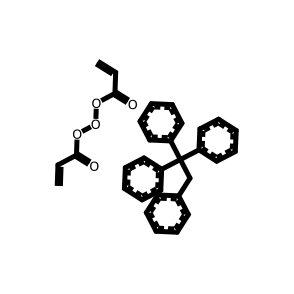 C=CC(=O)OOOC(=O)C=C.c1ccc(CC(c2ccccc2)(c2ccccc2)c2ccccc2)cc1